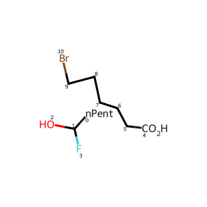 CCCCCC(O)F.O=C(O)CCCCCBr